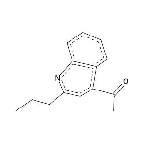 CCCc1cc(C(C)=O)c2ccccc2n1